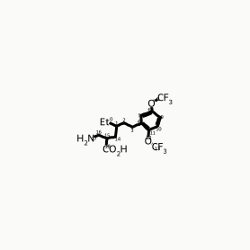 CCC(CCc1cc(OC(F)(F)F)ccc1OC(F)(F)F)CC(CN)C(=O)O